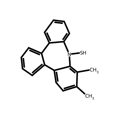 Cc1ccc2c(c1C)N(S)c1ccccc1-c1ccccc1-2